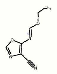 CCO/C=N/c1ocnc1C#N